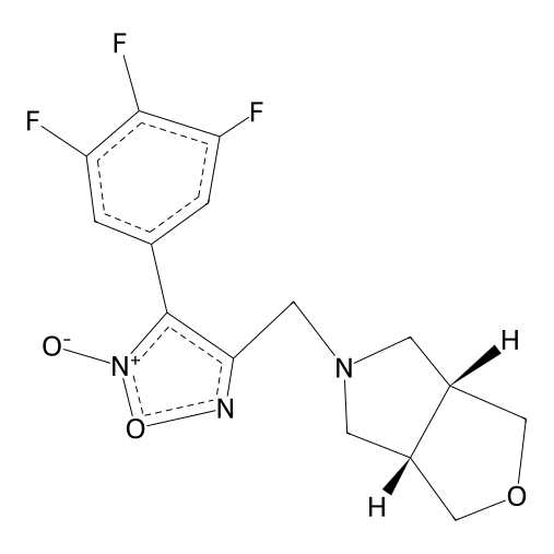 [O-][n+]1onc(CN2C[C@H]3COC[C@H]3C2)c1-c1cc(F)c(F)c(F)c1